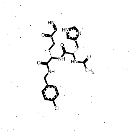 CC(=O)N[C@@H](Cc1c[nH]cn1)C(=O)N[C@@H](CCC(=O)C=N)C(=O)NCc1ccc(Cl)cc1